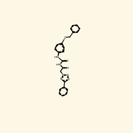 O=C(Cn1nnc(-c2ccccc2)n1)NC(=O)Nc1ccc(OCc2ccccc2)cc1